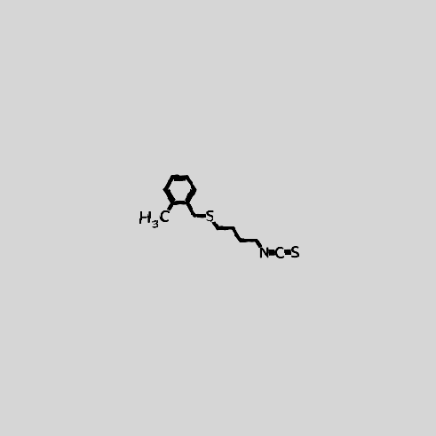 Cc1ccccc1CSCCCCN=C=S